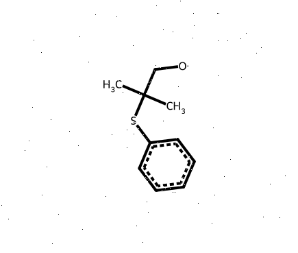 CC(C)(C[O])Sc1ccccc1